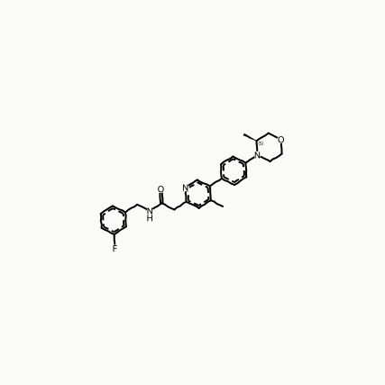 Cc1cc(CC(=O)NCc2cccc(F)c2)ncc1-c1ccc(N2CCOC[C@@H]2C)cc1